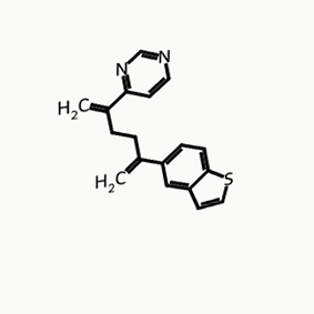 C=C(CCC(=C)c1ccncn1)c1ccc2sccc2c1